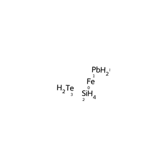 [Fe].[PbH2].[SiH4].[TeH2]